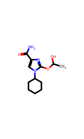 CC(O)Oc1nc(C(N)=O)cn1C1CCCCC1